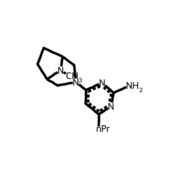 CCCc1cc(N2CC3CCC(C2)N3C)nc(N)n1